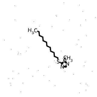 CCCCCCCCCCCCSc1ncnn1C